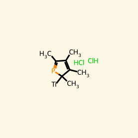 CC1=P[C](C)([Ti])C(C)=C1C.Cl.Cl